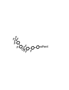 CCCCCc1ccc(-c2ccc(-c3cc(F)c(C(F)(F)Oc4ccc(-c5ccc(C(F)(F)C(F)F)c(F)c5)c(F)c4)c(F)c3)c(F)c2)cc1